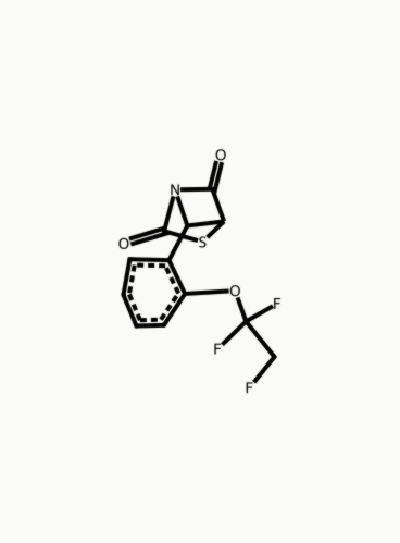 O=C1SC2C(=O)N1C2c1ccccc1OC(F)(F)CF